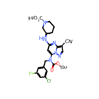 CC(C)(C)OC(=O)N(Cc1cc(F)cc(Cl)c1)c1cc(NC2CCCN(C(=O)O)C2)nc2c(C#N)cnn12